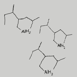 CCC(C)C([CH2][AlH2])CC(C)C.CCC(C)C([CH2][AlH2])CC(C)C.CCC(C)C([CH2][AlH2])CC(C)C